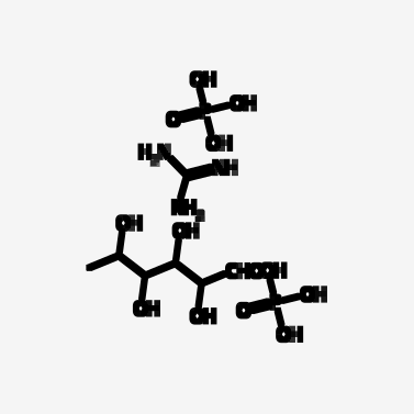 CC(O)C(O)C(O)C(O)C=O.N=C(N)N.O=P(O)(O)O.O=P(O)(O)O